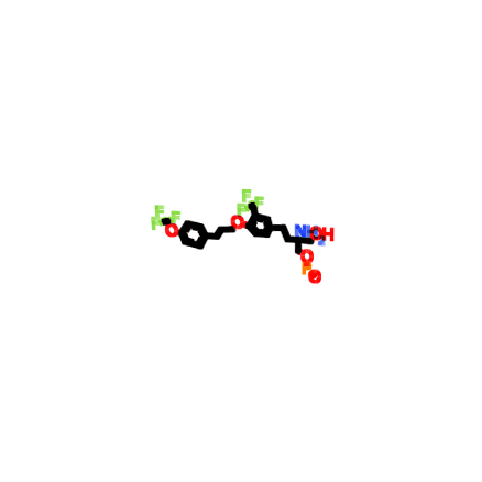 NC(CO)(CCc1ccc(OCCCc2ccc(OC(F)(F)F)cc2)c(C(F)(F)F)c1)COP=O